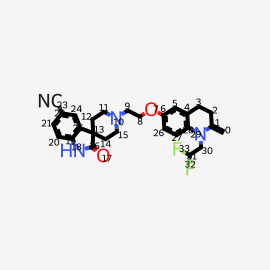 C=C1CCc2cc(OCCN3CCC4(CC3)C(=O)Nc3ccc(C#N)cc34)ccc2N1CC(F)F